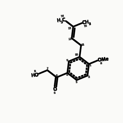 COc1ccc(C(=O)CO)cc1CC=C(C)C